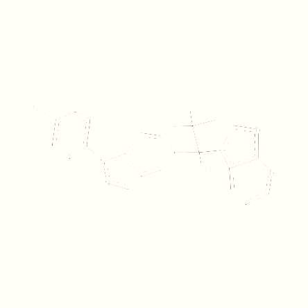 OC(c1ccc2c(cnn2-c2ccc(F)cc2)c1)(c1c[nH]c2ncccc12)C(F)(F)F